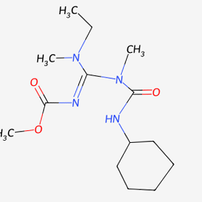 CCN(C)C(=NC(=O)OC)N(C)C(=O)NC1CCCCC1